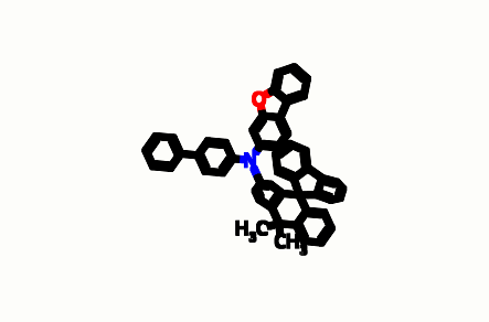 CC1(C)c2ccccc2C2(c3ccccc3-c3ccccc32)c2cc(N(c3ccc(-c4ccccc4)cc3)c3ccc4c(c3)oc3ccccc34)ccc21